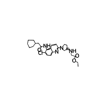 CCOC(=O)CN[C@H]1CCN(c2ccc3c(NC(=O)CC4CCCCC4)c(Cl)ccc3n2)C1